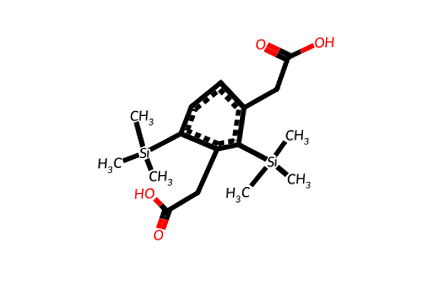 C[Si](C)(C)c1ccc(CC(=O)O)c([Si](C)(C)C)c1CC(=O)O